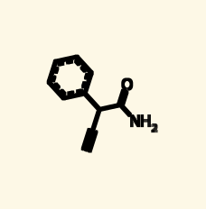 C#CC(C(N)=O)c1ccccc1